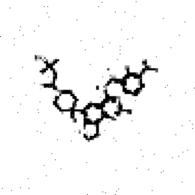 Cc1nc(N[C@H](C)c2cccc(C(F)F)c2F)c2cc(C3(O)CCN(C(=O)CC(C)(C)O)CC3)c3c(c2n1)CCO3